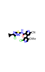 COc1cnc(Cl)cc1-c1cc(C#N)ncc1C(=O)Nc1nn2c(Cl)c(C3CC3)nc2s1